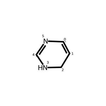 [C]1=CCN[C]=N1